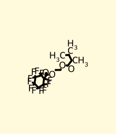 CC(C)C(C)C(=O)OCCOC(=O)C1(F)C(F)(F)C(F)(F)C(F)(F)C(F)(F)C1(F)F